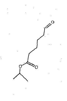 CC(C)OC(=O)CCCC[C]=O